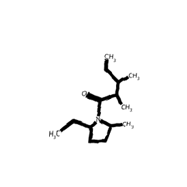 CCC(C)C(C)C(=O)N1C(C)CCC1CC